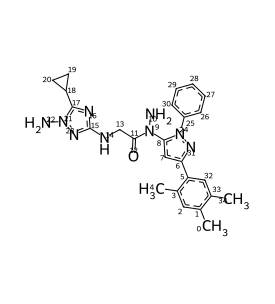 Cc1cc(C)c(-c2cc(N(N)C(=O)CNc3nc(C4CC4)n(N)n3)n(-c3ccccc3)n2)cc1C